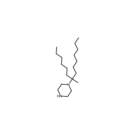 CCCCCCCC(C)(CCCCCC)N1CCNCC1